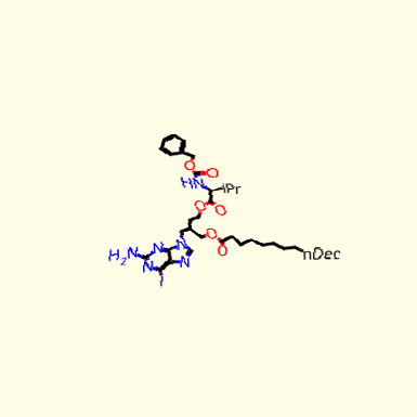 CCCCCCCCCCCCCCCCCC(=O)OCC(CCOC(=O)[C@@H](NC(=O)OCc1ccccc1)C(C)C)Cn1cnc2c(I)nc(N)nc21